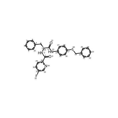 O=C(N[C@@H](Cc1ccccc1)C(=O)Nc1ccc(SCc2ccccc2)cc1)c1ccc(F)cn1